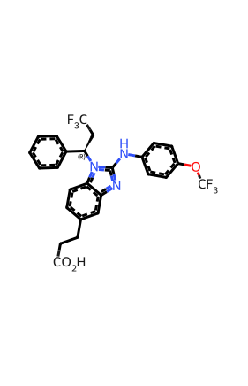 O=C(O)CCc1ccc2c(c1)nc(Nc1ccc(OC(F)(F)F)cc1)n2[C@H](CC(F)(F)F)c1ccccc1